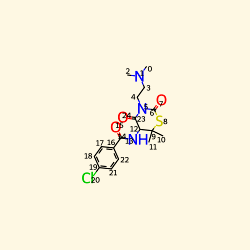 CN(C)CCN1C(=O)SC(C)(C)C(NC(=O)c2ccc(Cl)cc2)C1=O